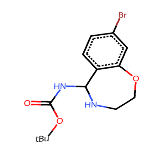 CC(C)(C)OC(=O)NC1NCCOc2cc(Br)ccc21